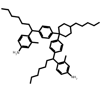 CCCCCCC(c1ccc(C2(c3ccc(C(CCCCCC)c4ccc(N)cc4C)cc3)CCC(CCCCC)CC2)cc1)c1ccc(N)cc1C